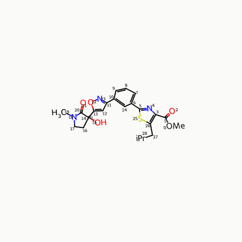 COC(=O)c1nc(-c2cccc(-c3cc([C@]4(O)CCN(C)C4=O)on3)c2)sc1CC(C)C